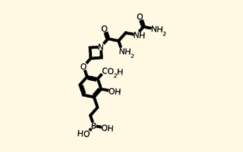 NC(=O)NCC(N)C(=O)N1CC(Oc2ccc(CCB(O)O)c(O)c2C(=O)O)C1